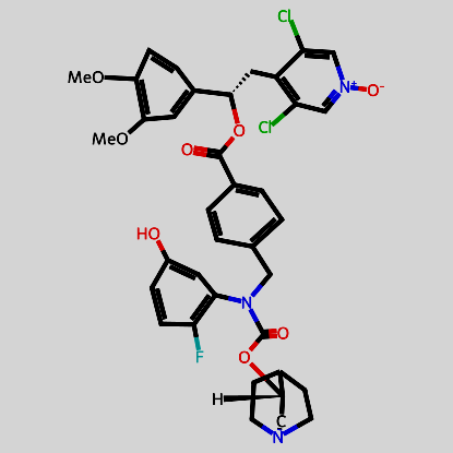 COc1ccc([C@H](Cc2c(Cl)c[n+]([O-])cc2Cl)OC(=O)c2ccc(CN(C(=O)O[C@H]3CN4CCC3CC4)c3cc(O)ccc3F)cc2)cc1OC